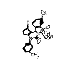 CS(=O)(=O)c1cc(C#N)ccc1C1C2=C(CCC2=O)N(c2cccc(C(F)(F)F)c2)C(=O)N1CCO